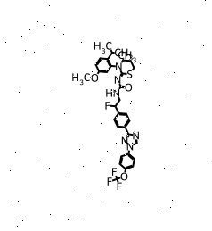 COc1ccc(C(C)C)c(N2/C(=N/C(=O)NCC(F)c3ccc(-c4ncn(-c5ccc(OC(F)(F)F)cc5)n4)cc3)SCCC2C)c1